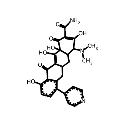 CN(C)C1C(O)=C(C(N)=O)C(=O)C2(O)C(O)=C3C(=O)c4c(O)ccc(-c5ccncc5)c4CC3CC12